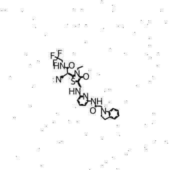 CCn1c(=C(C#N)C(=O)NCC(F)(F)F)sc(=CNc2cccc(NC(=O)CN3CCc4ccccc43)n2)c1=O